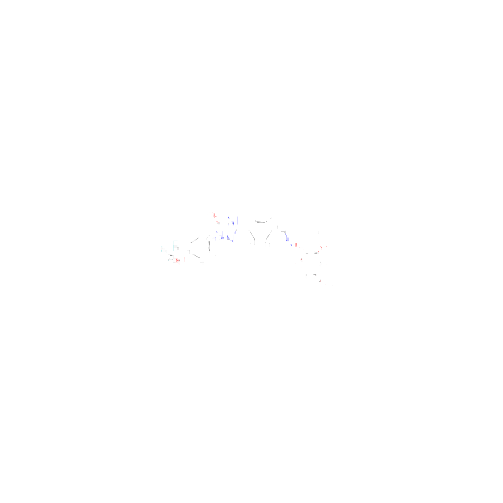 CO[C@@H]1[C@@H](OC)[C@H](C)O[C@@H](O/N=C/c2ccc(-c3nn(-c4ccc(OC(F)(F)F)cc4)c(=O)[nH]3)cc2)[C@@H]1OC